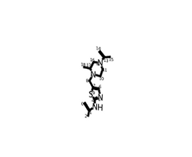 C=C(C)Nc1ncc(CN2CCN(C(=C)C)CC2C)s1